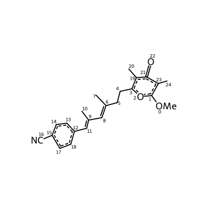 COc1oc(CC/C(C)=C/C(C)=C/c2ccc(C#N)cc2)c(C)c(=O)c1C